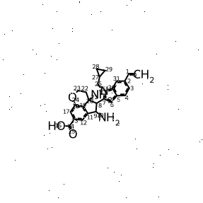 C=Cc1ccc2cc(C3C(N)c4cc(C(=O)O)cc5c4C3(N)CCO5)n(CC3CC3)c2c1